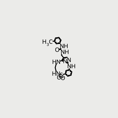 Cc1cccc(NC(=O)NCc2cnc3nc2NCCCNS(=O)(=O)c2cccc(c2)N3)c1